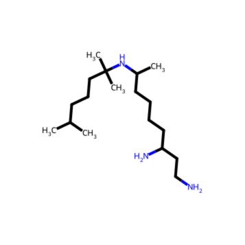 CC(C)CCCC(C)(C)NC(C)CCCCC(N)CCN